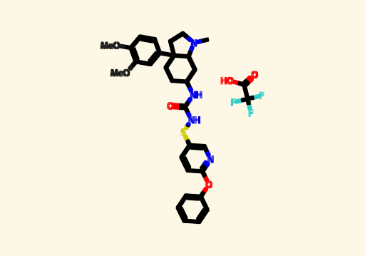 COc1ccc(C23CCC(NC(=O)NSc4ccc(Oc5ccccc5)nc4)CC2N(C)CC3)cc1OC.O=C(O)C(F)(F)F